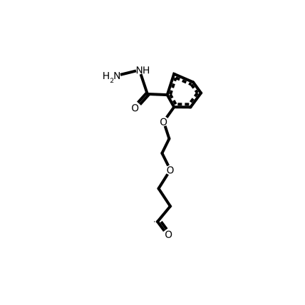 NNC(=O)c1ccccc1OCCOCC[C]=O